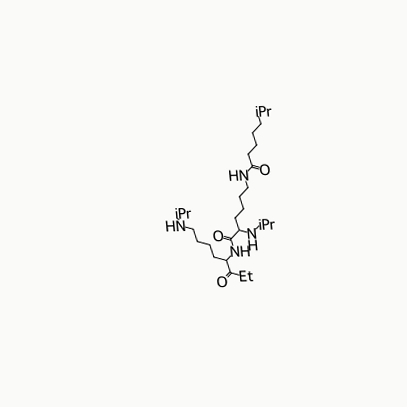 CCC(=O)C(CCCCNC(C)C)NC(=O)C(CCCCNC(=O)CCCCC(C)C)NC(C)C